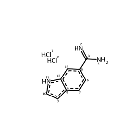 Cl.Cl.N=C(N)c1ccc2cc[nH]c2c1